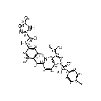 Cc1ccc(S(=O)(=O)n2cc(C(C)C)c3nc(Cc4c(C)cc(NC(=O)c5noc(=O)[nH]5)cc4C)ccc32)cc1